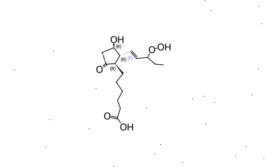 CCC(/C=C/[C@H]1[C@H](O)CC(=O)[C@@H]1CCCCCC(=O)O)OO